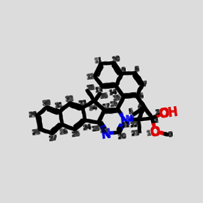 COC1(O)C2(C)c3ccc4ccccc4c3-c3c4c(nc[n+]3C12C)-c1cc2ccccc2cc1C4(C)C